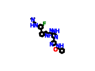 CN(C)CCNc1cc(F)cc(-c2cccc3[nH]c(-c4n[nH]c5cnc(-c6cncc(NC(=O)c7ccccc7)c6)cc45)cc23)c1